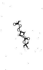 CC(=O)OOC1CN(C(=O)OC(C)(C)C)C1